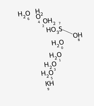 O.O.O.O.O.O.O.O=S(=O)(O)O.[KH]